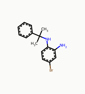 CC(C)(Nc1ccc(Br)cc1N)c1ccccc1